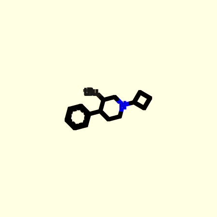 CC(C)(C)C1CN(C2CCC2)CCC1c1ccccc1